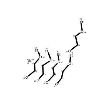 CCOCC[O-].CCOCC[O-].CCOCC[O-].CCOCC[O-].CCOCC[O-].[Nb+5]